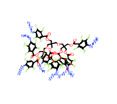 [N-]=[N+]=Nc1c(F)c(F)c(C(=O)OCC(COCC(COC(=O)c2c(F)c(F)c(N=[N+]=[N-])c(F)c2F)(COC(=O)c2c(F)c(F)c(N=[N+]=[N-])c(F)c2F)COC(=O)c2c(F)c(F)c(N=[N+]=[N-])c(F)c2F)(COCC(COC(=O)c2c(F)c(F)c(N=[N+]=[N-])c(F)c2F)(COC(=O)c2c(F)c(F)c(N=[N+]=[N-])c(F)c2F)COC(=O)c2c(F)c(F)c(N=[N+]=[N-])c(F)c2F)COC(=O)c2c(F)c(F)c(N=[N+]=[N-])c(F)c2F)c(F)c1F